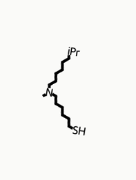 CC(C)CCCCCCN(C)CCCCCCS